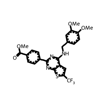 COC(=O)c1ccc(-c2nc(NCc3ccc(OC)c(OC)c3)c3cc(C(F)(F)F)sc3n2)cc1